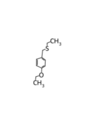 CCOc1ccc(CSCC)cc1